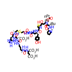 CCCC(=O)OCN(C(=O)[C@@H](NC(=O)[C@H]1CCCCN1C)C(C)CC)[C@H](C[C@@H](O)c1nc(C(=O)N[C@@H](Cc2ccc(O)cc2)C[C@H](C)C(=O)NNC(=O)OCCSSC[C@@H](C)NC(=O)[C@H](Cc2c[nH]cn2)NC(=O)[C@H](CC(=O)O)NC(=O)NCCCC[C@@H](C)NC(=O)N[C@@H](CCC(=O)O)C(=O)O)cs1)C(C)C